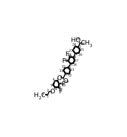 C=CCOc1ccc(OC(=O)c2ccc(-c3ccc(-c4ccc(C(C)O)cc4)c(F)c3F)cc2)c(F)c1F